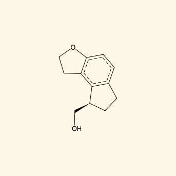 OC[C@@H]1CCc2ccc3c(c21)CCO3